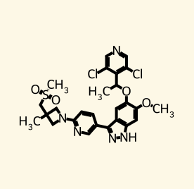 COc1cc2[nH]nc(-c3ccc(N4CC(C)(CS(C)(=O)=O)C4)nc3)c2cc1OC(C)c1c(Cl)cncc1Cl